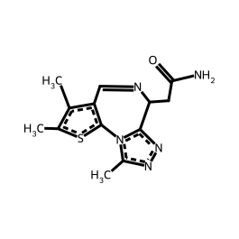 Cc1sc2c(c1C)C=NC(CC(N)=O)c1nnc(C)n1-2